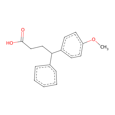 COc1ccc(C(CCC(=O)O)c2ccccc2)cc1